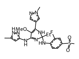 CCC1(Nc2ccc(S(C)(=O)=O)cc2F)N=C(Nc2cc(C)[nH]n2)C(OC)=C(c2cnn(C)c2)N1